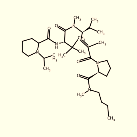 CCCCN(C)C(=O)[C@@H]1CCCN1C(=O)/C(C)=C/[C@H](C(C)C)N(C)C(=O)[C@@H](NC(=O)C1CCCCN1C(C)C)C(C)(C)C